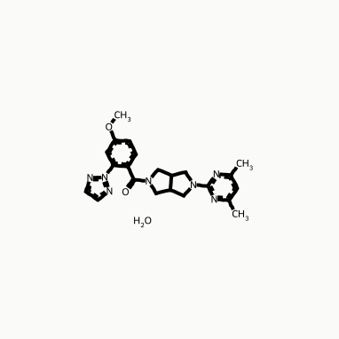 COc1ccc(C(=O)N2CC3CN(c4nc(C)cc(C)n4)CC3C2)c(-n2nccn2)c1.O